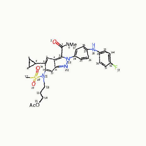 CNC(=O)c1c2cc(C3CC3)c(N(CCCOC(C)=O)S(C)(=O)=O)cc2nn1-c1ccc(Nc2ccc(F)cc2)cc1